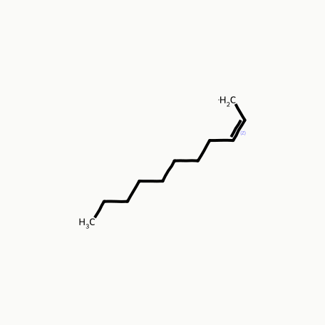 [CH2]/C=C\CCCCCCCC